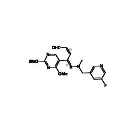 COc1ncc(C(/C=C\C=O)=N/N(C)Cc2cncc(F)c2)c(OC)n1